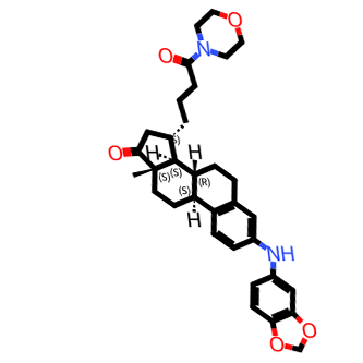 C[C@]12CC[C@@H]3c4ccc(Nc5ccc6c(c5)OCO6)cc4CC[C@H]3[C@@H]1[C@@H](CCCC(=O)N1CCOCC1)CC2=O